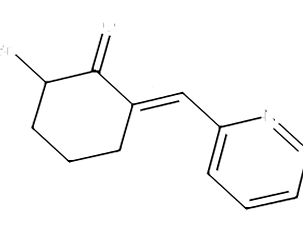 O=C1/C(=C/c2ccccn2)CCCC1Br